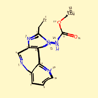 CCc1nc2cnc3cccnc3c2n1NC(=O)OC(C)(C)C